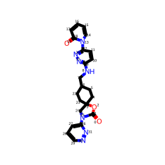 O=C1OC2(CCC(CNc3ccc(-n4ccccc4=O)nn3)CC2)CN1c1cccnn1